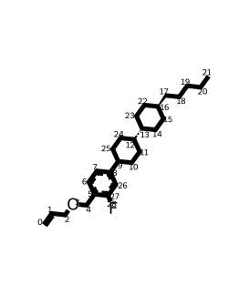 C=CCOCc1ccc(C2CCC([C@H]3CC[C@H](CCCCC)CC3)CC2)cc1F